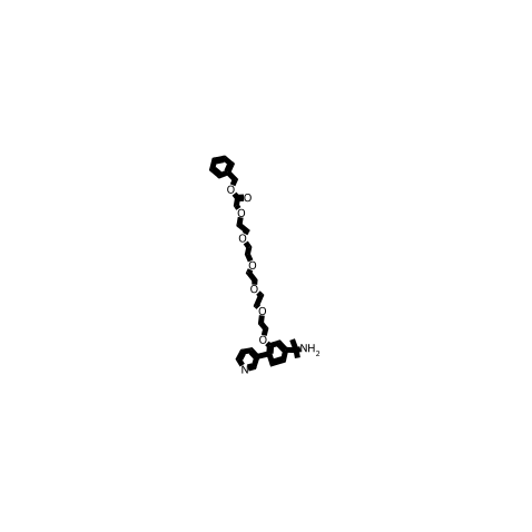 CC(C)(N)c1ccc(-c2cccnc2)c(OCCOCCOCCOCCOCCOCC(=O)OCc2ccccc2)c1